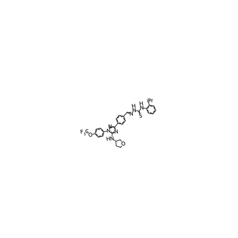 CC(C)c1ccccc1NC(=S)N/N=C/c1ccc(-c2nc(NC3CCOC3)n(-c3ccc(OC(F)(F)F)cc3)n2)cc1